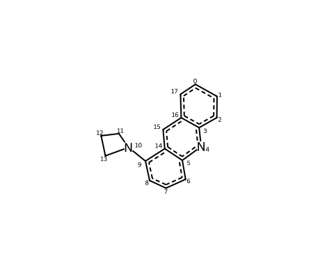 c1ccc2nc3cccc(N4CCC4)c3cc2c1